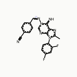 Cc1nc2c(=N)n(/N=C\c3ccc(C#N)cc3)cnc2n1-c1ccc(F)cc1F